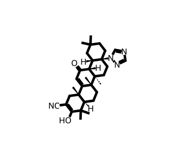 CC1(C)CC[C@]2(n3cncn3)CC[C@]3(C)[C@H](C(=O)C=C4[C@@]5(C)CC(C#N)=C(O)C(C)(C)[C@@H]5CC[C@]43C)[C@@H]2C1